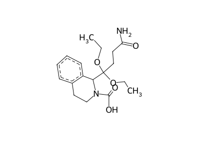 CCOC(CCC(N)=O)(OCC)C1c2ccccc2CCN1C(=O)O